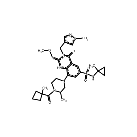 CON=c1[nH]c2c(N3CCN(C(=O)C4(C)CCC4)C(C)C3)cc(S(=O)(=O)NC3(C)CC3)cc2c(=O)n1Cc1cnn(C)c1